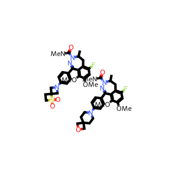 CNC(=O)N1N=C(c2ccc(N3CC4(CCS4(=O)=O)C3)cc2)c2c(c(F)cc(OC)c2OC)CC1C.CNC(=O)N1N=C(c2ccc(N3CCC4(CC3)COC4)cc2)c2c(c(F)cc(OC)c2OC)CC1C